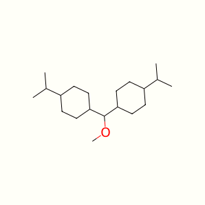 COC(C1CCC(C(C)C)CC1)C1CCC(C(C)C)CC1